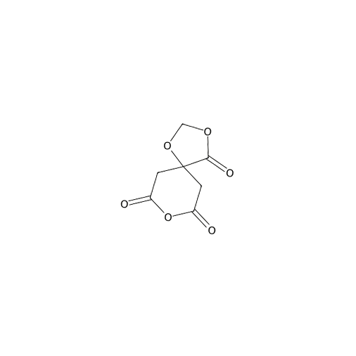 O=C1CC2(CC(=O)O1)OCOC2=O